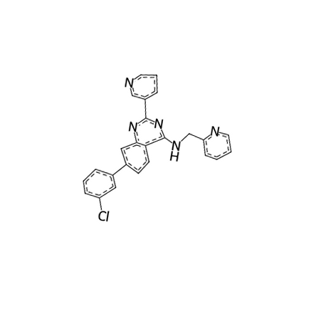 Clc1cccc(-c2ccc3c(NCc4ccccn4)nc(-c4cccnc4)nc3c2)c1